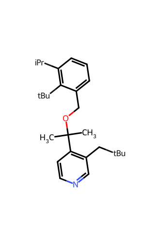 CC(C)c1cccc(COC(C)(C)c2ccncc2CC(C)(C)C)c1C(C)(C)C